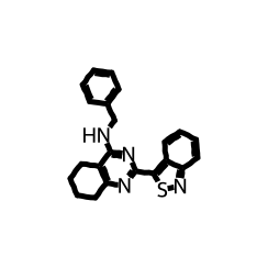 c1ccc(CNc2nc(-c3snc4ccccc34)nc3c2CCCC3)cc1